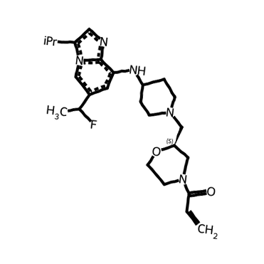 C=CC(=O)N1CCO[C@@H](CN2CCC(Nc3cc(C(C)F)cn4c(C(C)C)cnc34)CC2)C1